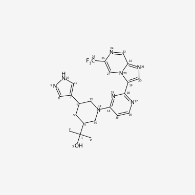 CC(C)(O)C1CC(c2cn[nH]c2)CN(c2ccnc(-c3cnc4cnc(C(F)(F)F)cn34)n2)C1